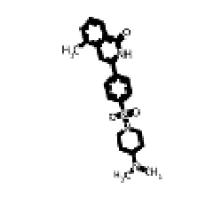 Cc1cccc2c(=O)[nH]c(-c3ccc(S(=O)(=O)N4CCC(N(C)C)CC4)cc3)cc12